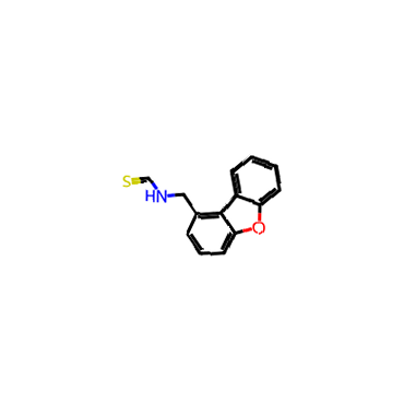 S=CNCc1cccc2oc3ccccc3c12